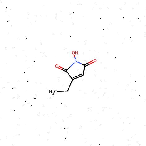 CCC1=CC(=O)N(O)C1=O